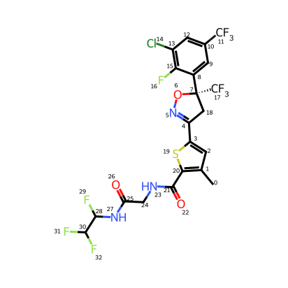 Cc1cc(C2=NO[C@](c3cc(C(F)(F)F)cc(Cl)c3F)(C(F)(F)F)C2)sc1C(=O)NCC(=O)NC(F)C(F)F